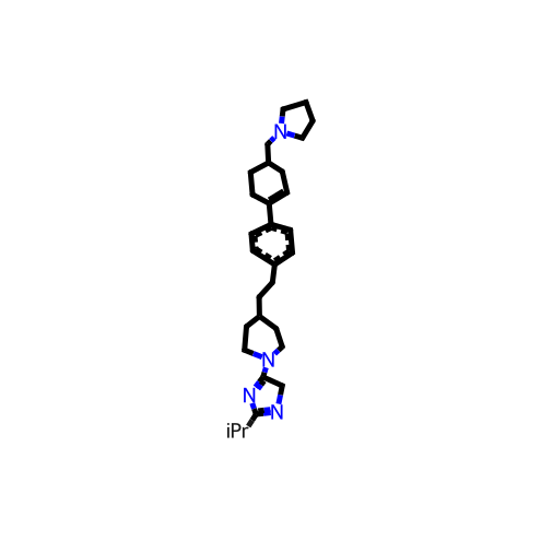 CC(C)C1=NCC(N2CCC(CCc3ccc(C4=CCC(CN5CCCC5)CC4)cc3)CC2)=N1